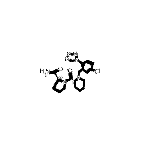 NC(=O)[C@@H]1CCCN1C(=O)[C@H]1CCCCN1Cc1cc(Cl)ccc1-n1cnnn1